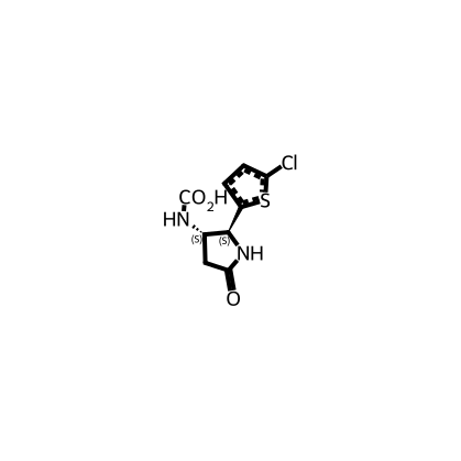 O=C(O)N[C@H]1CC(=O)N[C@@H]1c1ccc(Cl)s1